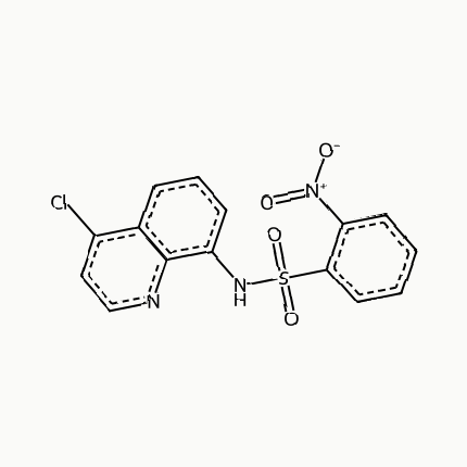 O=[N+]([O-])c1ccccc1S(=O)(=O)Nc1cccc2c(Cl)ccnc12